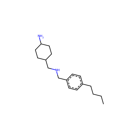 CCCCc1ccc(CNCC2CCC(N)CC2)cc1